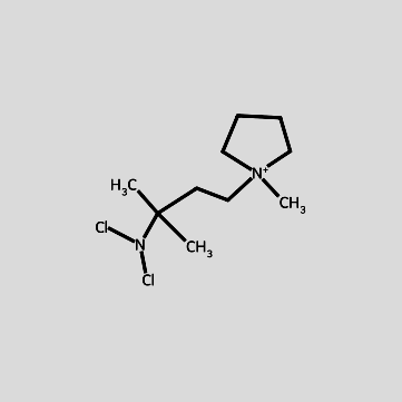 CC(C)(CC[N+]1(C)CCCC1)N(Cl)Cl